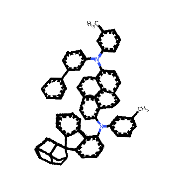 Cc1cccc(N(c2cccc(-c3ccccc3)c2)c2ccc3ccc4c(N(c5cccc(C)c5)c5cccc6c5-c5ccccc5C65C6CC7CC(C6)CC5C7)ccc5ccc2c3c54)c1